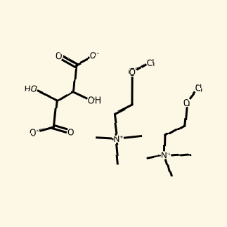 C[N+](C)(C)CCOCl.C[N+](C)(C)CCOCl.O=C([O-])C(O)C(O)C(=O)[O-]